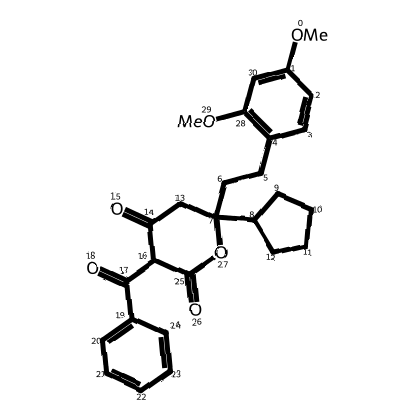 COc1ccc(CCC2(C3CCCC3)CC(=O)C(C(=O)c3ccccc3)C(=O)O2)c(OC)c1